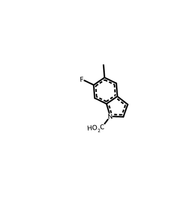 Cc1cc2ccn(C(=O)O)c2cc1F